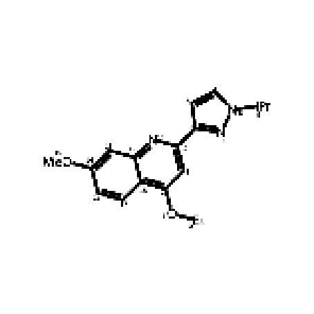 CCOc1cc(-c2ccn(C(C)C)n2)nc2cc(OC)ccc12